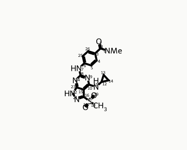 CNC(=O)c1ccc(Nc2nc(NC3CC3)c3c(S(C)(=O)=O)n[nH]c3n2)cc1